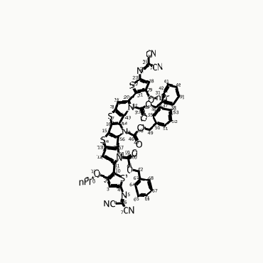 CCCOc1cc(N=C(C#N)C#N)sc1-c1cc2sc3c4sc5cc(-c6sc(N=C(C#N)C#N)cc6OCCC)n(C(=O)OCc6ccccc6)c5c4n(C(=O)OCc4ccccc4)c3c2n1C(=O)OCc1ccccc1